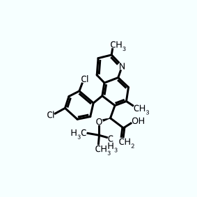 C=C(O)[C@@H](OC(C)(C)C)c1c(C)cc2nc(C)ccc2c1-c1ccc(Cl)cc1Cl